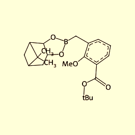 COc1c(CB2OC3CC4CC(C3O2)C4(C)C)cccc1C(=O)OC(C)(C)C